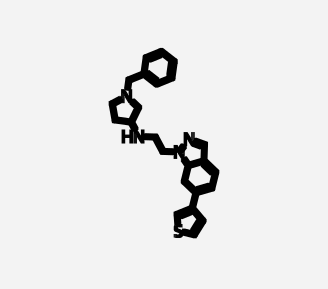 C1=NN(CCNC2CCN(Cc3ccccc3)C2)C2CC(c3ccsc3)=CC=C12